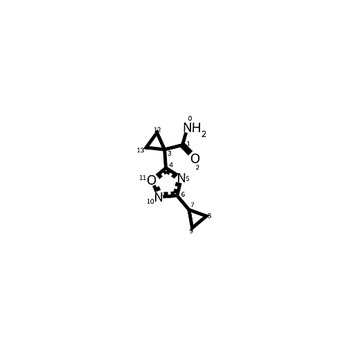 NC(=O)C1(c2nc(C3CC3)no2)CC1